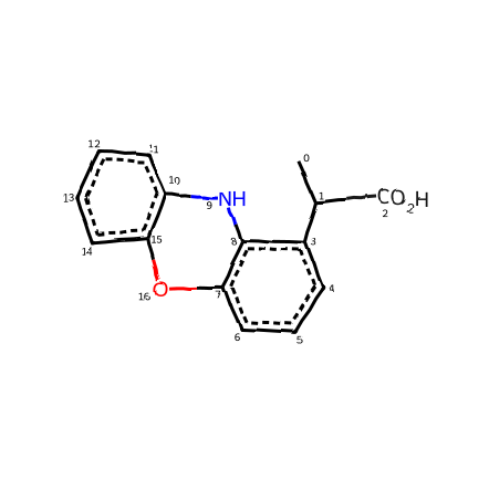 CC(C(=O)O)c1cccc2c1Nc1ccccc1O2